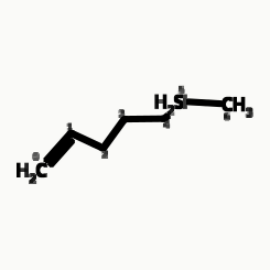 C=CCCC[SiH2]C